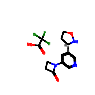 O=C(O)C(F)(F)F.O=C1CCN1c1cncc([C@@H]2CCON2)c1